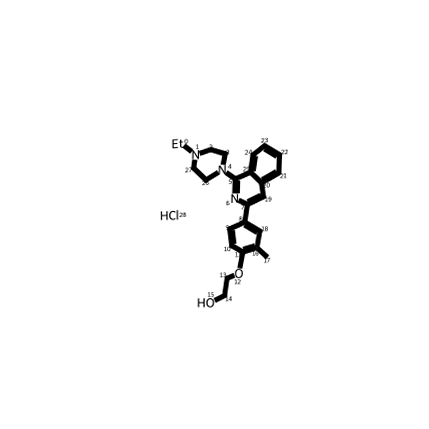 CCN1CCN(c2nc(-c3ccc(OCCO)c(C)c3)cc3ccccc23)CC1.Cl